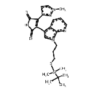 Cn1ccc(C2=C(c3cn(CCCO[Si](C)(C)C(C)(C)C)c4ncccc34)C(=O)NC2=O)n1